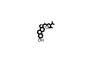 CC(C)C(C[C@H](O)[C@@H](C)[C@H]1CCC2C3CC=C4C[C@@H](O)CC[C@]4(C)C3CC[C@@]21C)C(C)C